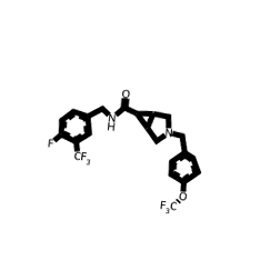 O=C(NCc1ccc(F)c(C(F)(F)F)c1)C1C2CN(Cc3ccc(OC(F)(F)F)cc3)CC21